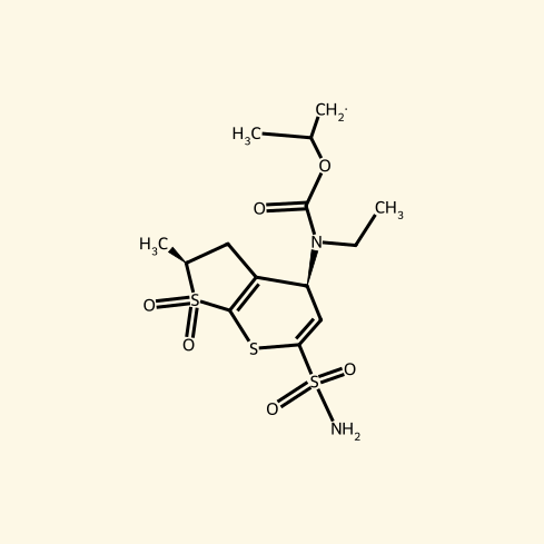 [CH2]C(C)OC(=O)N(CC)[C@H]1C=C(S(N)(=O)=O)SC2=C1C[C@H](C)S2(=O)=O